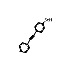 [SeH]c1ccc(C#Cc2cc[c]cc2)cc1